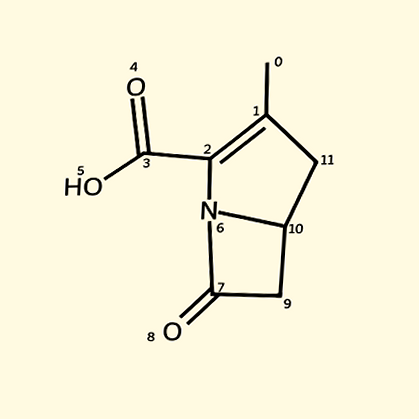 CC1=C(C(=O)O)N2C(=O)CC2C1